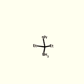 BC(CC)(CC)CC[CH2]